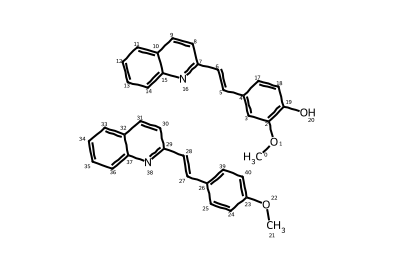 COc1cc(C=Cc2ccc3ccccc3n2)ccc1O.COc1ccc(C=Cc2ccc3ccccc3n2)cc1